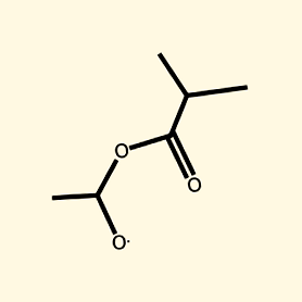 CC([O])OC(=O)C(C)C